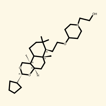 CC1(C)CCC2[C@]3(C)CO[C@@H](C4CCCC4)O[C@@H]3CC[C@@]2(C)[C@@H]1CCOC1CCN(CCO)CC1